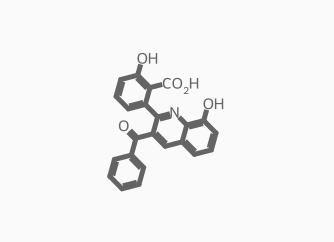 O=C(c1ccccc1)c1cc2cccc(O)c2nc1-c1cccc(O)c1C(=O)O